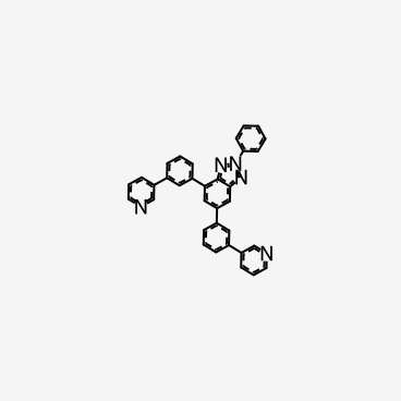 c1ccc(-n2nc3cc(-c4cccc(-c5cccnc5)c4)cc(-c4cccc(-c5cccnc5)c4)c3n2)cc1